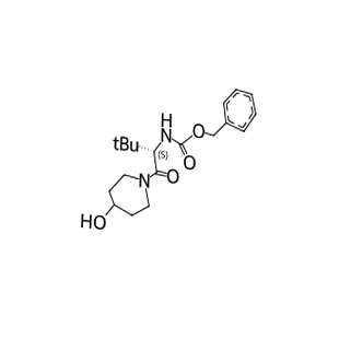 CC(C)(C)[C@H](NC(=O)OCc1ccccc1)C(=O)N1CCC(O)CC1